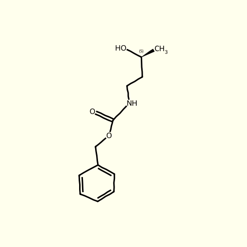 C[C@H](O)CCNC(=O)OCc1ccccc1